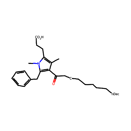 CCCCCCCCCCCCCCCCCC(=O)c1c(C)c(CCC(=O)O)n(C)c1Cc1ccccc1